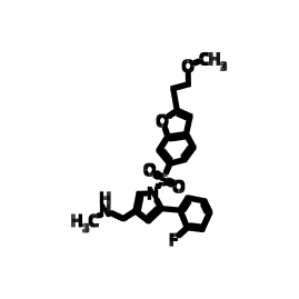 CNCc1cc(-c2ccccc2F)n(S(=O)(=O)c2ccc3cc(CCOC)oc3c2)c1